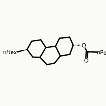 CCCCCC[C@H]1CCC2C(CCC3C[C@@H](OC(=O)CCCCC)CCC32)C1